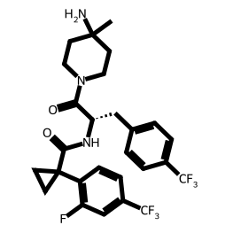 CC1(N)CCN(C(=O)[C@H](Cc2ccc(C(F)(F)F)cc2)NC(=O)C2(c3ccc(C(F)(F)F)cc3F)CC2)CC1